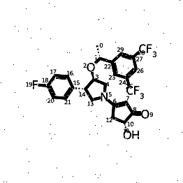 C[C@@H](O[C@H]1CN(C2=CC(=O)[C@H](O)C2)C[C@@H]1c1ccc(F)cc1)c1cc(C(F)(F)F)cc(C(F)(F)F)c1